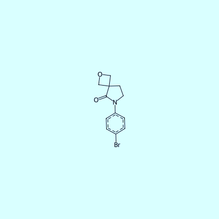 O=C1N(c2ccc(Br)cc2)CCC12COC2